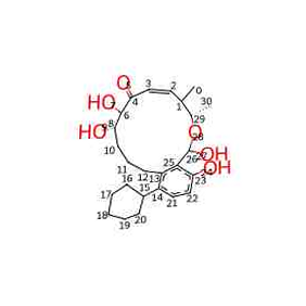 CC1/C=C\C(=O)C(O)[C@@H](O)CCCc2c(C3CCCCC3)ccc(O)c2C(O)O[C@H]1C